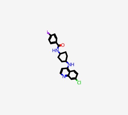 O=C(NC1CCC(Nc2ccnc3cc(Cl)ccc23)CC1)c1ccc(I)cc1